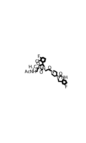 CC(=O)NC[C@H](C)n1c(=O)c(-c2cccc(F)c2Cl)cn(CC2OC2N2CCC(N3CCc4cc(F)ccc4NC3=O)CC2)c1=O